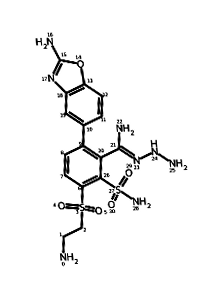 NCCS(=O)(=O)c1ccc(-c2ccc3oc(N)nc3c2)c(/C(N)=N/NN)c1S(N)(=O)=O